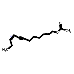 CC/C=C\C#CCCCCCCOC(C)=O